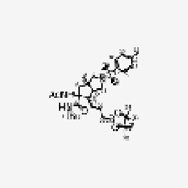 CC(=O)NC1(C(=O)NC(C)(C)C)CC2(C)CN(S(=O)(=O)c3ccc(C)cc3)CC2C1CCCB1OC(C)(C)C(C)(C)O1